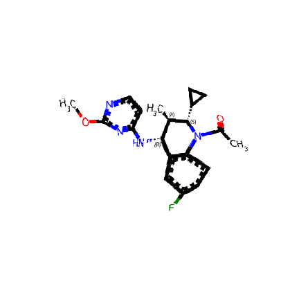 COc1nccc(N[C@H]2c3cc(F)ccc3N(C(C)=O)[C@@H](C3CC3)[C@@H]2C)n1